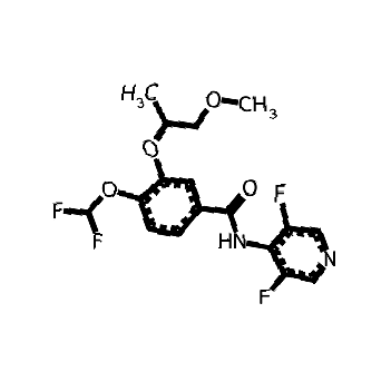 COCC(C)Oc1cc(C(=O)Nc2c(F)cncc2F)ccc1OC(F)F